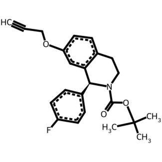 C#CCOc1ccc2c(c1)[C@H](c1ccc(F)cc1)N(C(=O)OC(C)(C)C)CC2